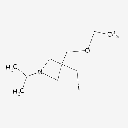 CCOCC1(CI)CN(C(C)C)C1